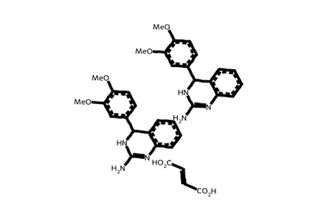 COc1ccc(C2NC(N)=Nc3ccccc32)cc1OC.COc1ccc(C2NC(N)=Nc3ccccc32)cc1OC.O=C(O)/C=C/C(=O)O